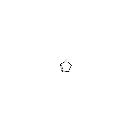 [C]1CSC=N1